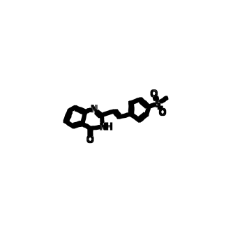 CS(=O)(=O)c1ccc(C=Cc2nc3ccccc3c(=O)[nH]2)cc1